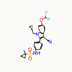 CC1(S(=O)(=O)Nc2ccc(-c3c(C#N)c4ccc(OC(F)F)cc4n3CC3CC3)cc2)CC1